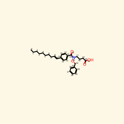 CCCCCCCCC=Cc1ccc(C(=O)N(CCCC(=O)O)OCc2ccccc2)cc1